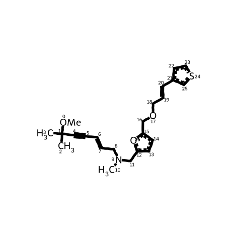 COC(C)(C)C#CC=CCN(C)Cc1ccc(COCC=Cc2ccsc2)o1